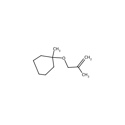 C=C(C)COC1(C)CCCCC1